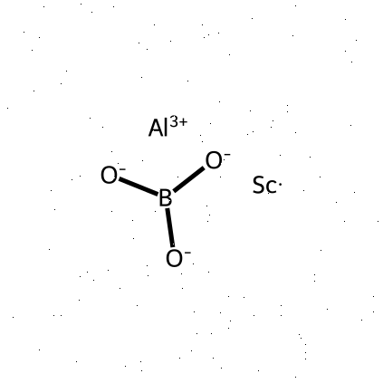 [Al+3].[O-]B([O-])[O-].[Sc]